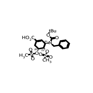 CC(C)(C)OC(=O)N(Cc1ccccc1)[C@@H]1C=C(C(=O)O)C[C@@H](OS(C)(=O)=O)[C@H]1OS(C)(=O)=O